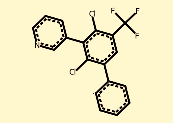 FC(F)(F)c1cc(-c2[c]cccc2)c(Cl)c(-c2cccnc2)c1Cl